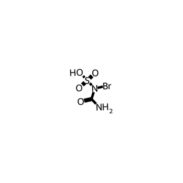 NC(=O)N(Br)S(=O)(=O)O